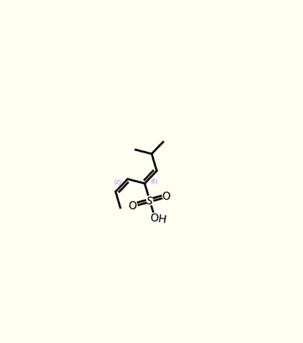 C/C=C\C(=C/C(C)C)S(=O)(=O)O